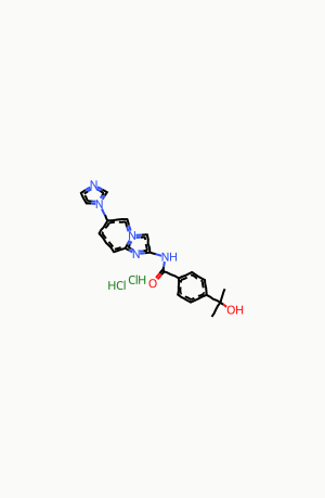 CC(C)(O)c1ccc(C(=O)Nc2cn3cc(-n4ccnc4)ccc3n2)cc1.Cl.Cl